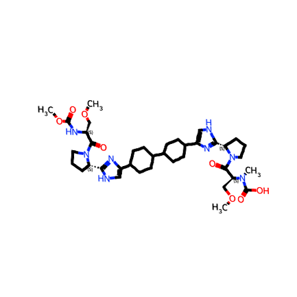 COC[C@H](NC(=O)OC)C(=O)N1CCC[C@H]1c1nc(C2CCC(C3CCC(c4c[nH]c([C@@H]5CCCN5C(=O)[C@H](COC)N(C)C(=O)O)n4)CC3)CC2)c[nH]1